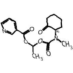 CC(OC(=O)c1cccnc1)OC(=O)N(C)[C@@H]1CCCCC1=O